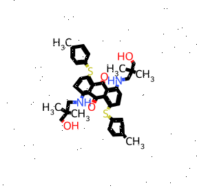 Cc1ccc(Sc2ccc(NCC(C)(C)CO)c3c2C(=O)c2c(NCC(C)(C)CO)ccc(Sc4ccc(C)cc4)c2C3=O)cc1